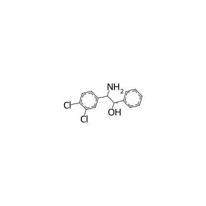 NC([C](O)c1ccccc1)c1ccc(Cl)c(Cl)c1